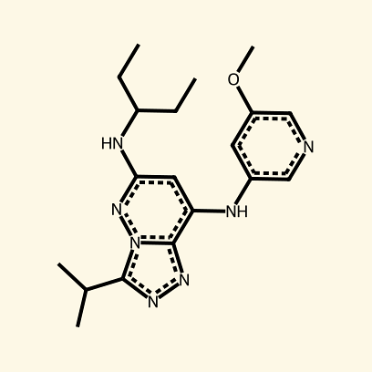 CCC(CC)Nc1cc(Nc2cncc(OC)c2)c2nnc(C(C)C)n2n1